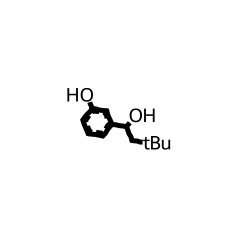 CC(C)(C)CC(O)c1cccc(O)c1